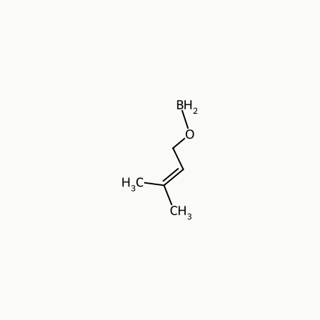 BOCC=C(C)C